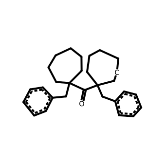 O=C(C1(Cc2ccccc2)CCCCCC1)C1(Cc2ccccc2)CCCCCC1